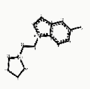 Cc1ccc2c(ccn2CCN2CCCC2)c1